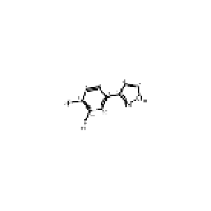 Fc1ccc(-c2ccon2)cc1F